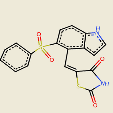 O=C1NC(=O)/C(=C\c2c(S(=O)(=O)c3ccccc3)ccc3[nH]ccc23)S1